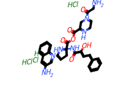 Cl.Cl.Cl.NCC(=O)N1CCNC(C(=O)OC(=O)[C@]2(NC(=O)C(O)CCc3ccccc3)CCCN2)C1.Nc1cnc2ccccc2c1